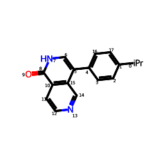 CC(C)c1ccc(-c2c[nH]c(=O)c3ccncc23)cc1